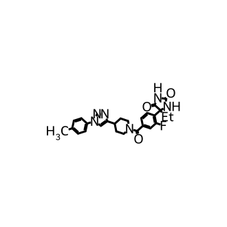 CCC1(c2ccc(C(=O)N3CCC(c4cn(-c5ccc(C)cc5)nn4)CC3)cc2F)NC(=O)NC1=O